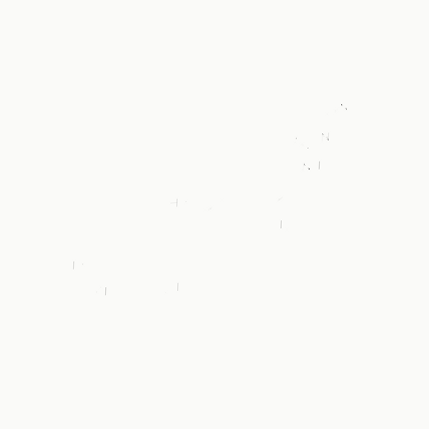 CC(C)=CCCC(C)=CCCC(C)=CCCC(C)=CCNC(=O)Nc1ccccn1